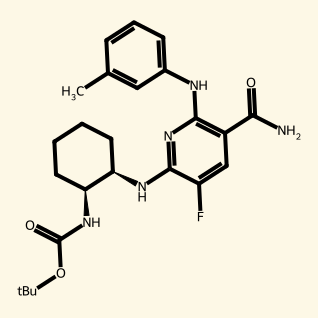 Cc1cccc(Nc2nc(N[C@@H]3CCCC[C@@H]3NC(=O)OC(C)(C)C)c(F)cc2C(N)=O)c1